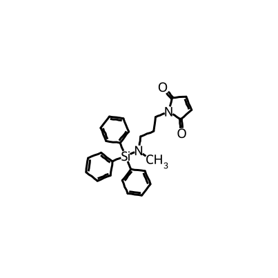 CN(CCCN1C(=O)C=CC1=O)[Si](c1ccccc1)(c1ccccc1)c1ccccc1